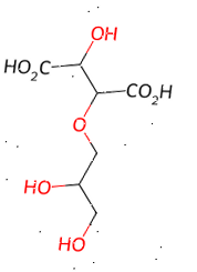 O=C(O)C(O)C(OCC(O)CO)C(=O)O